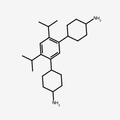 CC(C)c1cc(C(C)C)c(C2CCC(N)CC2)cc1C1CCC(N)CC1